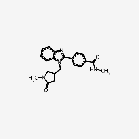 CNC(=O)c1ccc(-c2nc3ccccc3n2CC2CC(=O)N(C)C2)cc1